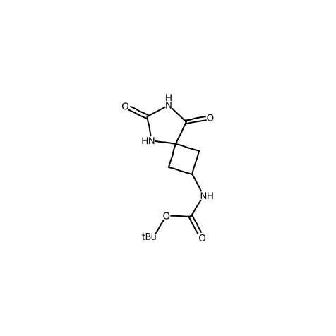 CC(C)(C)OC(=O)NC1CC2(C1)NC(=O)NC2=O